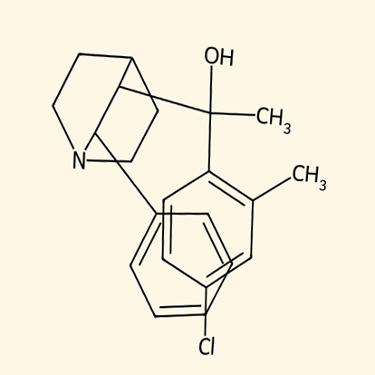 Cc1cc(Cl)ccc1C(C)(O)C1C2CCN(CC2)C1c1ccccc1